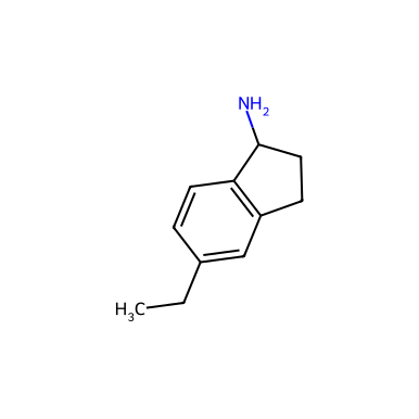 CCc1ccc2c(c1)CCC2N